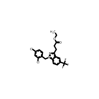 CCOC(=O)CCc1nn(Cc2ccc(Cl)cc2Cl)c2ccc(C(F)(F)F)cc12